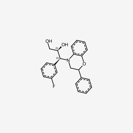 OC[C@@H](O)[C@H](c1cccc(F)c1)N1CC(c2ccccc2)Oc2ccccc21